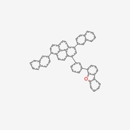 c1cc(-c2cc(-c3ccc4ccccc4c3)c3ccc4ccc(-c5ccc6ccccc6c5)c5ccc2c3c45)cc(-c2cccc3c2oc2ccccc23)c1